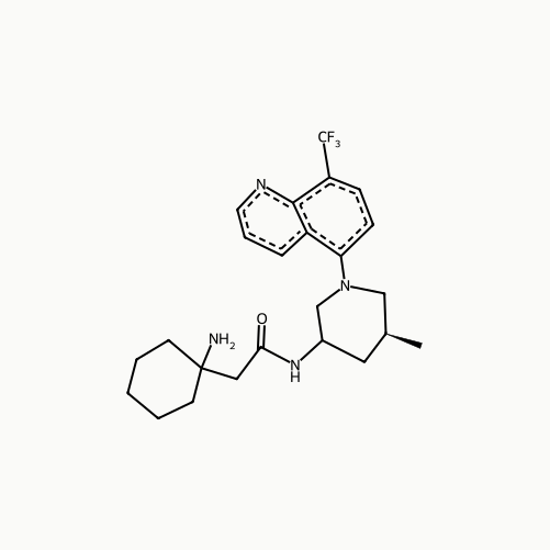 C[C@H]1CC(NC(=O)CC2(N)CCCCC2)CN(c2ccc(C(F)(F)F)c3ncccc23)C1